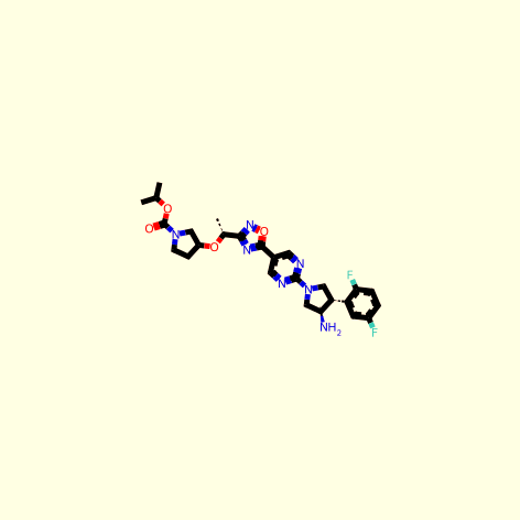 CC(C)OC(=O)N1CCC(O[C@H](C)c2noc(-c3cnc(N4C[C@H](c5cc(F)ccc5F)[C@@H](N)C4)nc3)n2)C1